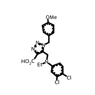 CCN(Cc1c(C(=O)O)nnn1Cc1ccc(OC)cc1)c1ccc(Cl)c(Cl)c1